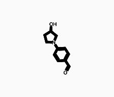 O=Cc1ccc(N2CCC(O)C2)cc1